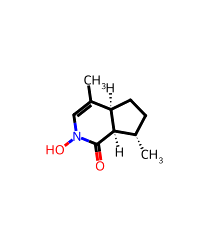 CC1=CN(O)C(=O)[C@H]2[C@@H]1CC[C@@H]2C